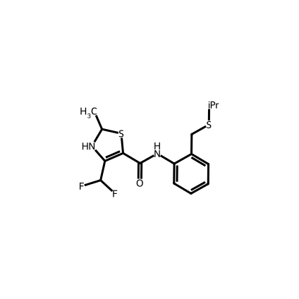 CC(C)SCc1ccccc1NC(=O)C1=C(C(F)F)NC(C)S1